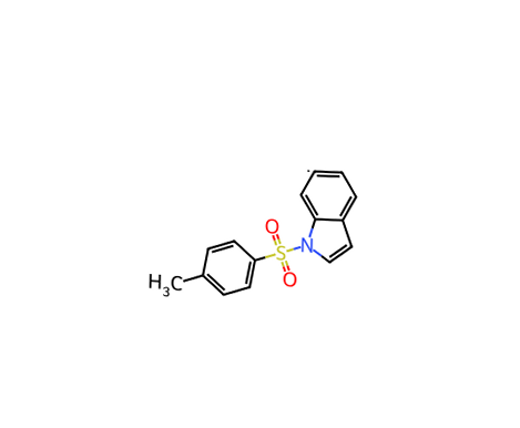 Cc1ccc(S(=O)(=O)n2ccc3cc[c]cc32)cc1